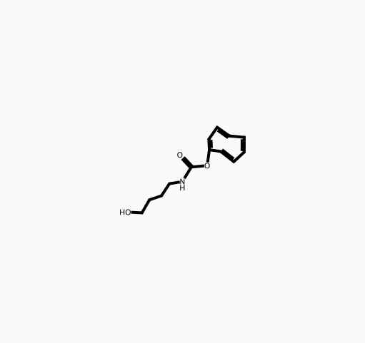 O=C(NCCCCO)OC1=C/C=C/C=C\C=C\1